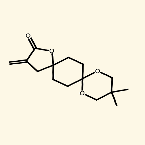 C=C1CC2(CCC3(CC2)OCC(C)(C)CO3)OC1=O